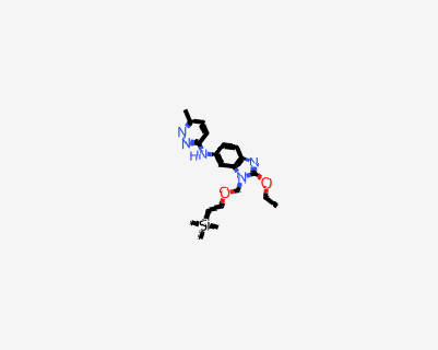 CCOc1nc2ccc(Nc3ccc(C)nn3)cc2n1COCC[Si](C)(C)C